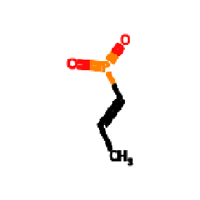 CC=CP(=O)=O